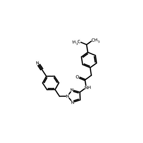 CC(C)c1ccc(CC(=O)Nc2cnn(Cc3ccc(C#N)cc3)n2)cc1